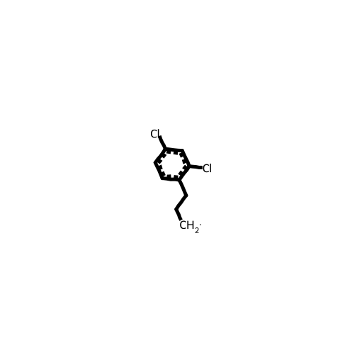 [CH2]CCc1ccc(Cl)cc1Cl